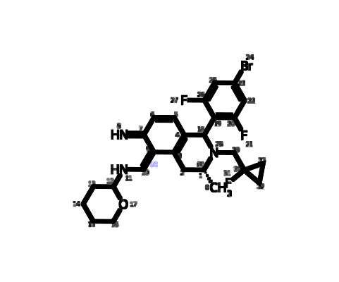 C[C@@H]1CC2=C(C=CC(=N)/C2=C\NC2CCCCO2)C(c2c(F)cc(Br)cc2F)N1CC1(F)CC1